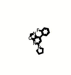 Fc1ccccc1-c1cc(N2CCCC2)nc2ocnc12